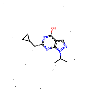 CC(C)n1ncc2c(O)nc(CC3CC3)nc21